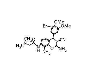 COc1cc(C2C(C#N)=C(N)Oc3c2ccc(NC(=O)CN(C)C)c3N)cc(Br)c1OC